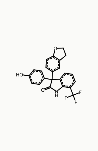 O=C1Nc2c(C(F)(F)F)cccc2C1(c1ccc(O)cc1)c1ccc2c(c1)CCO2